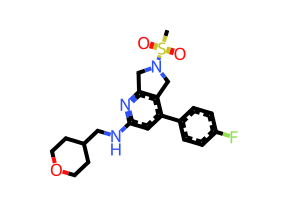 CS(=O)(=O)N1Cc2nc(NCC3CCOCC3)cc(-c3ccc(F)cc3)c2C1